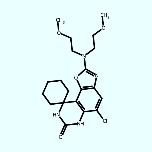 COCCN(CCOC)c1nc2cc(Cl)c3c(c2o1)C1(CCCCC1)NC(=O)N3